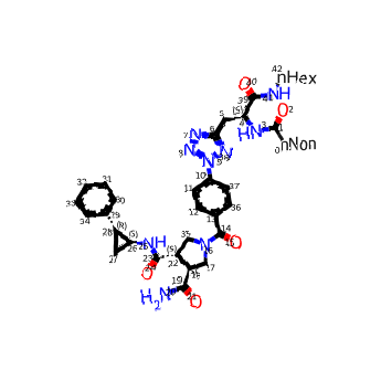 CCCCCCCCCC(=O)N[C@@H](Cc1nnn(-c2ccc(C(=O)N3C[C@@H](C(N)=O)[C@H](C(=O)N[C@H]4C[C@@H]4c4ccccc4)C3)cc2)n1)C(=O)NCCCCCC